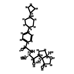 CC(C)(C)[C@H](NC(=O)c1ccc(N2CCN(C3CCC3)CC2)cc1)C(=O)N1CC[C@H]2OCC(=O)[C@H]21